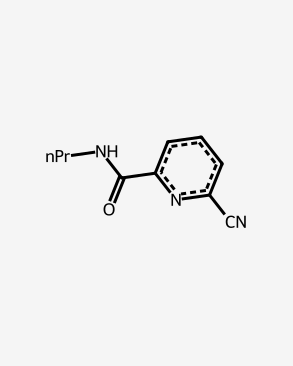 CCCNC(=O)c1cccc(C#N)n1